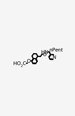 CCCCCC(NOCCC1CCCc2c(OCC(=O)O)cccc21)c1cccnc1